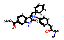 COC(=O)c1ccc2c(c1)NC(=O)C2=CC1(Nc2ccc(CC(=O)N(C)C)cc2)C=CC=CC1